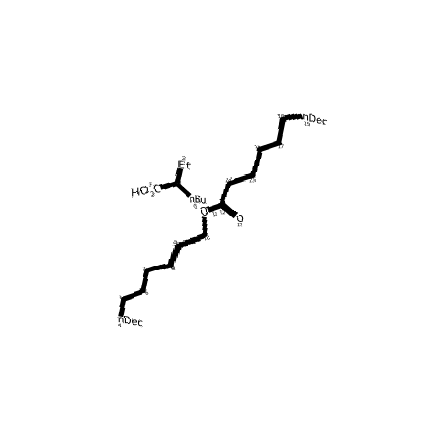 CCCCC(CC)C(=O)O.CCCCCCCCCCCCCCCCOC(=O)CCCCCCCCCCCCCCC